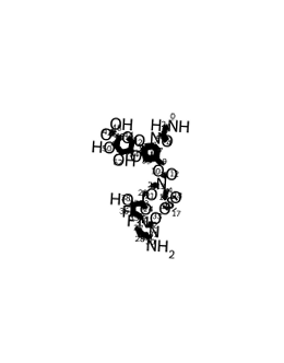 CNCC(=O)Nc1cc(COC(=O)N(CCS(C)(=O)=O)COC[C@H]2O[C@@H](n3ccc(N)nc3=O)C(F)(F)[C@@H]2O)ccc1O[C@H]1O[C@@H](C(=O)O)[C@H](O)[C@@H](O)[C@@H]1O